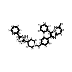 Cc1ccc2nc(-c3ccc(CN4CCC(c5nnc(-c6ccccn6)[nH]5)CC4)cc3)c(-c3ccccc3)n2n1